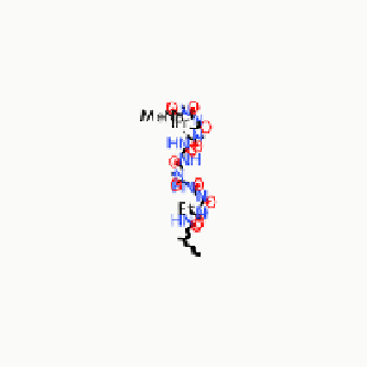 C/C=C/CC(C)CCC(=O)N[C@@H](CC)C(=O)N(C)CC(=O)N(C)CC(=O)NCC(=O)N(C)CC(=O)NCC(=O)N[C@H](C)C(=O)N(C)[C@@H](CC(C)C)C(=O)N(C)CC(=O)N(C)CC(=O)NC